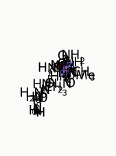 CCn1nc(C)cc1C(=O)/N=c1/[nH]c2cc(C(N)=O)cc(OC)c2n1C/C=C/Cn1/c(=N\C(=O)c2cc(C)nn2CC)[nH]c2cc(C(N)=O)cc(OCCCN3CCN(CCCCCCCC(=O)NC(C)c4ccc5c(N)c(C(=O)N[C@H]6CCc7cc(N8C[C@H]9CC[C@@H](C8)N9)ccc7C6)sc5n4)CC3)c21